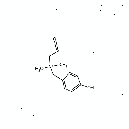 C[N+](C)(CC=O)Cc1ccc(O)cc1